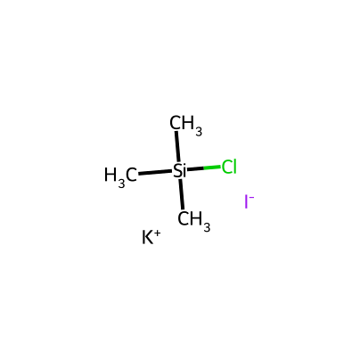 C[Si](C)(C)Cl.[I-].[K+]